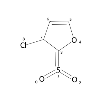 O=S(=O)=C1OC=CC1Cl